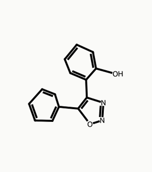 Oc1ccccc1-c1nnoc1-c1ccccc1